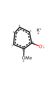 COc1ccccc1[O-].[K+]